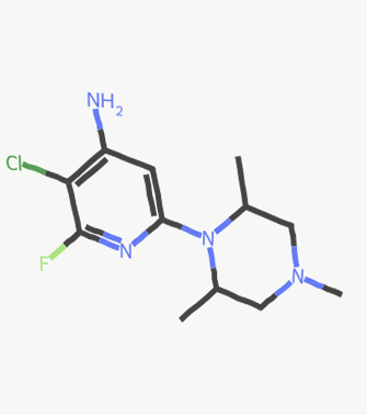 CC1CN(C)CC(C)N1c1cc(N)c(Cl)c(F)n1